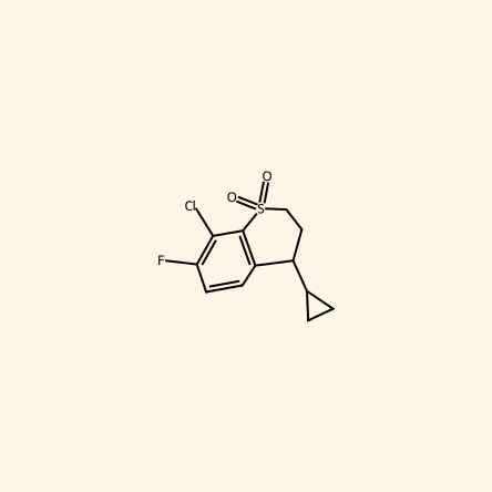 O=S1(=O)CCC(C2CC2)c2ccc(F)c(Cl)c21